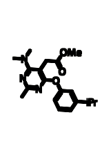 COC(=O)Cc1c(Oc2cccc(C(C)C)c2)nc(C)nc1N(C)C